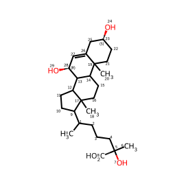 CC(CCCC(C)(O)C(=O)O)C1CCC2C3C(CCC12C)C1(C)CC[C@H](O)CC1=C[C@@H]3O